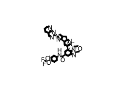 C[C@@H]1COCc2nc3cc(C(=O)Nc4ccc(OC(F)(F)Cl)cc4)cc(-c4cnc5c(c4)-c4nn(-c6ncc7cccnc7n6)cc4C5)c3n21